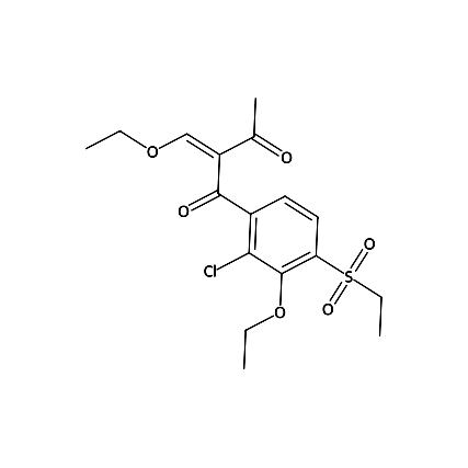 CCO/C=C(/C(C)=O)C(=O)c1ccc(S(=O)(=O)CC)c(OCC)c1Cl